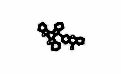 O=c1c2ccccc2oc2cc(-n3c4ccccc4c4c5c6ccccc6oc5c5oc6ccccc6c5c43)ccc12